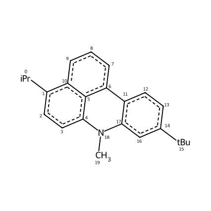 CC(C)c1ccc2c3c(cccc13)-c1ccc(C(C)(C)C)cc1N2C